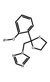 CC(C)Oc1ccccc1C1(Cn2cncn2)OCCS1